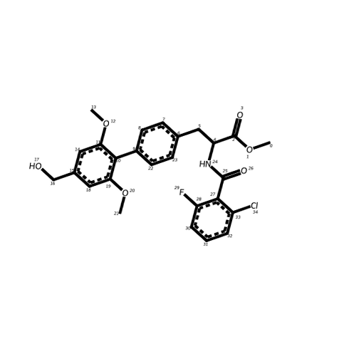 COC(=O)C(Cc1ccc(-c2c(OC)cc(CO)cc2OC)cc1)NC(=O)c1c(F)cccc1Cl